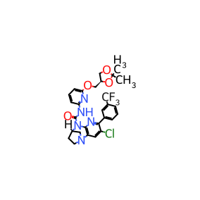 CC1(C)OC[C@H](COc2cccc(NC(=O)N3c4nc(-c5cccc(C(F)(F)F)c5)c(Cl)cc4N4CC[C@H]3C4)n2)O1